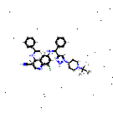 CC(Nc1c(C#N)cnc2c(Cl)cc(NC(c3ccccc3)c3cn(C4CCN(C(C)(C)C)CC4)nn3)cc12)c1ccccc1